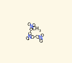 Cc1cc(-c2ccc3c(c2)c2cc(-c4ccc5c(c4)c4ccccc4n5-c4ccccc4)ccc2n3-c2ccccc2)ccc1N(c1ccccc1)c1ccccc1